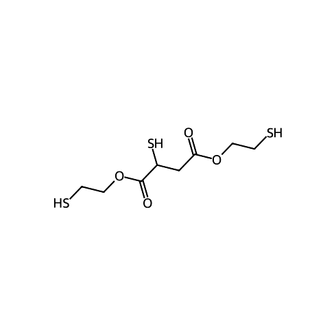 O=C(CC(S)C(=O)OCCS)OCCS